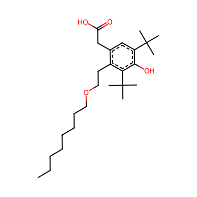 CCCCCCCCOCCc1c(CC(=O)O)cc(C(C)(C)C)c(O)c1C(C)(C)C